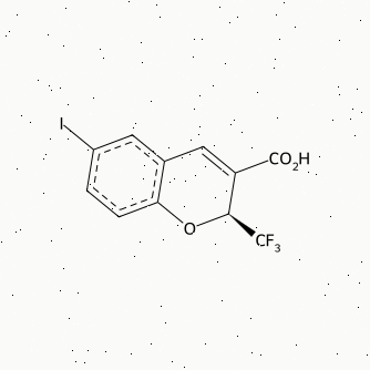 O=C(O)C1=Cc2cc(I)ccc2O[C@@H]1C(F)(F)F